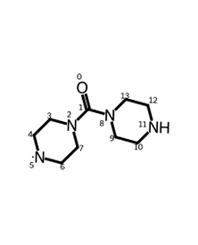 O=C(N1CC[N]CC1)N1CCNCC1